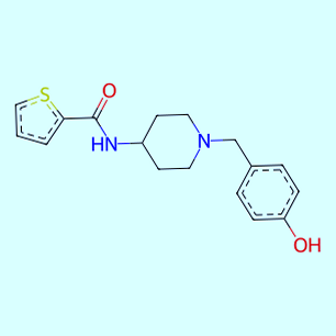 O=C(NC1CCN(Cc2ccc(O)cc2)CC1)c1cccs1